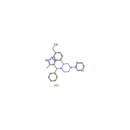 Cc1[nH]ncc1C(c1ccccc1)N1CCN(c2cnccn2)CC1c1ccc(CC#N)cc1.Cl